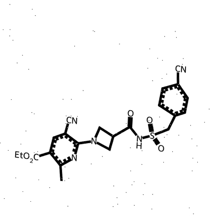 CCOC(=O)c1cc(C#N)c(N2CC(C(=O)NS(=O)(=O)Cc3ccc(C#N)cc3)C2)nc1C